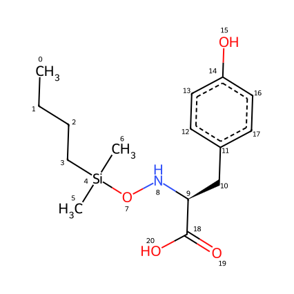 CCCC[Si](C)(C)ON[C@@H](Cc1ccc(O)cc1)C(=O)O